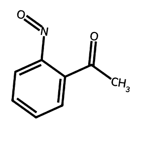 CC(=O)c1ccccc1N=O